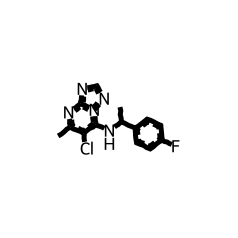 Cc1nc2ncnn2c(NC(C)c2ccc(F)cc2)c1Cl